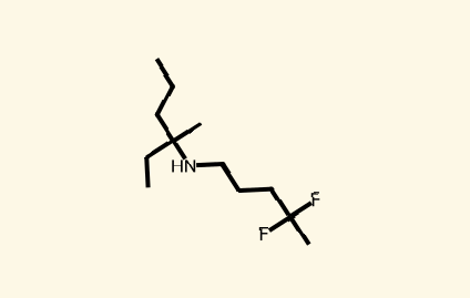 CCCC(C)(CC)NCCCC(C)(F)F